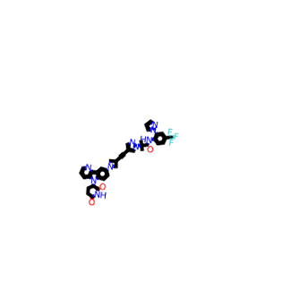 CC(C)(C(=O)Nc1ccc(C(F)(F)F)cc1-n1cccn1)n1cc(C#CC2CN(c3ccc4c(c3)c3ncccc3n4C3CCC(=O)NC3=O)C2)cn1